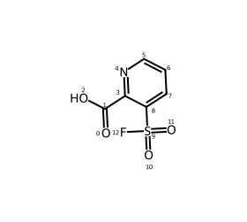 O=C(O)c1ncccc1S(=O)(=O)F